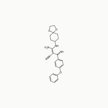 N#C/C(C(=N)c1ccc(Oc2ccccc2)cc1)=C(\N)NC1CCC2(CC1)OCCO2